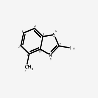 Cc1cccc2sc(I)nc12